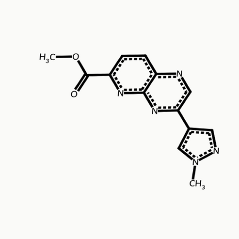 COC(=O)c1ccc2ncc(-c3cnn(C)c3)nc2n1